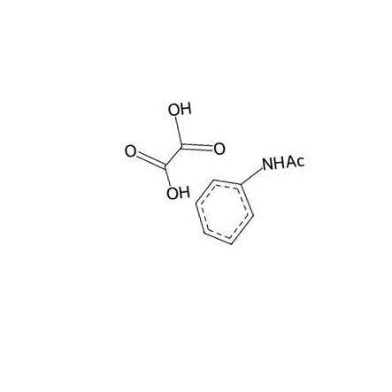 CC(=O)Nc1ccccc1.O=C(O)C(=O)O